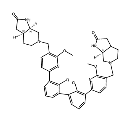 COc1nc(-c2cccc(-c3cccc(-c4ccc(CN5CCC6CC(=O)N[C@@H]6C5)c(OC)n4)c3Cl)c2Cl)ccc1CN1CC[C@H]2CC(=O)N[C@H]2C1